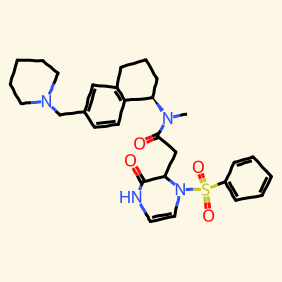 CN(C(=O)CC1C(=O)NC=CN1S(=O)(=O)c1ccccc1)[C@@H]1CCCc2cc(CN3CCCCC3)ccc21